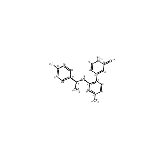 CC(Nc1nc(C(F)(F)F)ccc1-c1cc[nH]c(=O)c1)c1ccc(F)cc1